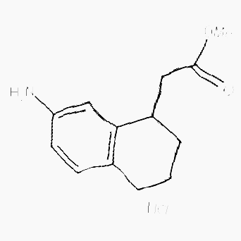 COC(=O)CC1CCCc2ccc(N)cc21.Cl